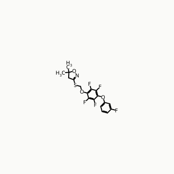 CC1(C)CC(SCOc2c(F)c(F)c(Oc3cccc(F)c3)c(F)c2F)=NO1